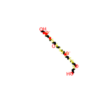 O=C(CCSCSCCC[S+]([O-])CCSCSCCSC(=O)CCSCSCCC[S+]([O-])CCCO)SCCCO